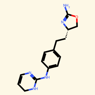 NC1=N[C@@H](CCc2ccc(NC3=NC=[C]CN3)cc2)CO1